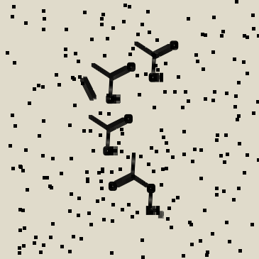 C=C.CC(=O)O.CC(=O)O.CC(=O)O.CC(=O)ON